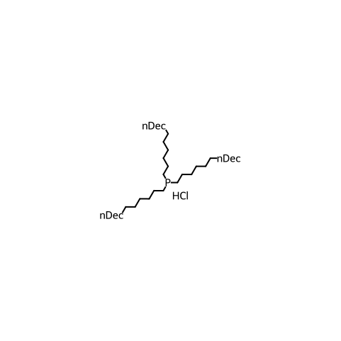 CCCCCCCCCCCCCCCCP(CCCCCCCCCCCCCCCC)CCCCCCCCCCCCCCCC.Cl